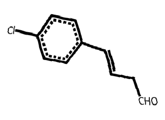 O=CCC=Cc1ccc(Cl)cc1